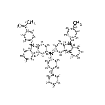 CC(=O)c1ccc(-n2c3ccccc3c3cc(N(c4ccc(-c5ccccc5)cc4)c4ccc5c(c4)c4ccccc4n5-c4ccc(C)cc4)ccc32)cc1